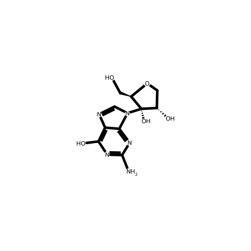 Nc1nc(O)c2ncn([C@]3(O)[C@@H](O)CO[C@@H]3CO)c2n1